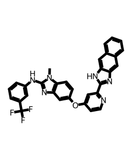 Cn1c(Nc2cccc(C(F)(F)F)c2)nc2cc(Oc3ccnc(-c4nc5cc6ccccc6cc5[nH]4)c3)ccc21